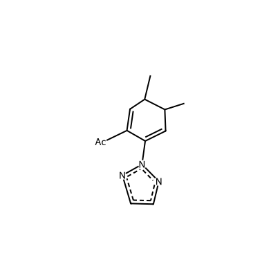 CC(=O)C1=CC(C)C(C)C=C1n1nccn1